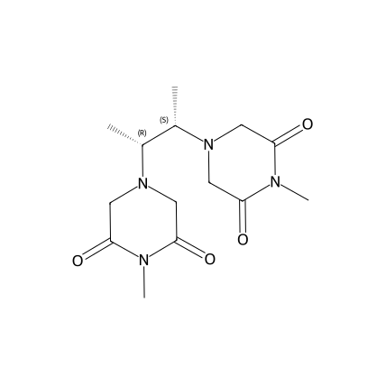 C[C@H]([C@H](C)N1CC(=O)N(C)C(=O)C1)N1CC(=O)N(C)C(=O)C1